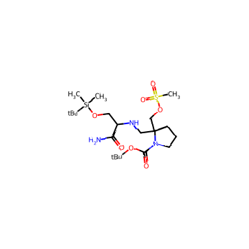 CC(C)(C)OC(=O)N1CCCC1(CNC(CO[Si](C)(C)C(C)(C)C)C(N)=O)COS(C)(=O)=O